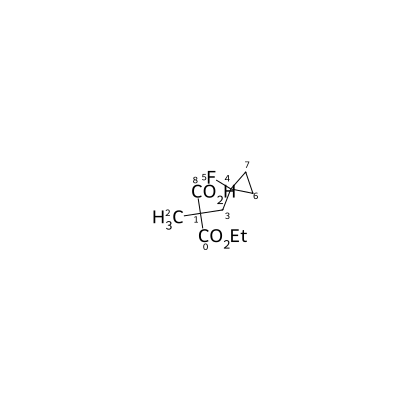 CCOC(=O)C(C)(CC1(F)CC1)C(=O)O